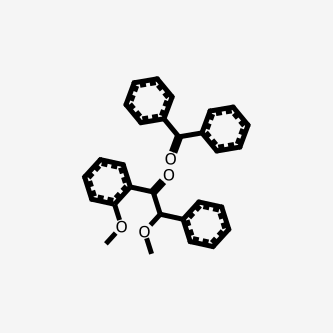 COc1ccccc1C(=O)C(OC)c1ccccc1.O=C(c1ccccc1)c1ccccc1